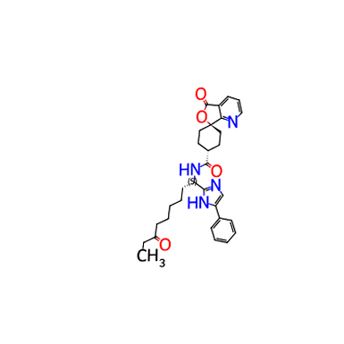 CCC(=O)CCCCC[C@H](NC(=O)[C@H]1CC[C@@]2(CC1)OC(=O)c1cccnc12)c1ncc(-c2ccccc2)[nH]1